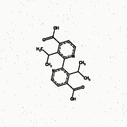 CC(C)c1c(C(=O)O)ccnc1-c1nccc(C(=O)O)c1C(C)C